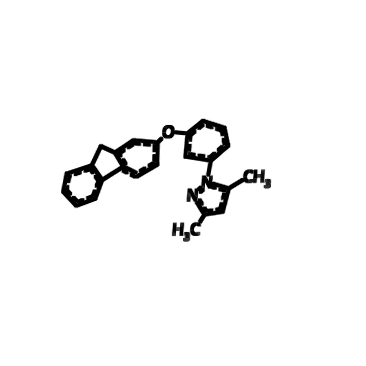 Cc1cc(C)n(-c2cccc(Oc3ccc4c(c3)Cc3ccccc3-4)c2)n1